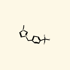 Cn1cc[n+](Cc2ccc(C(F)(F)F)cc2)c1